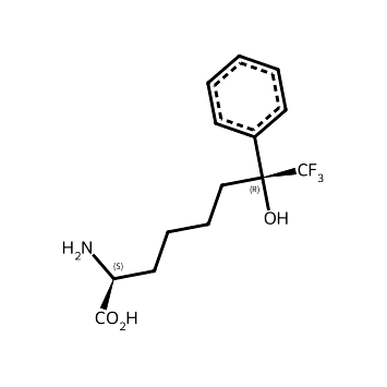 N[C@@H](CCCC[C@@](O)(c1ccccc1)C(F)(F)F)C(=O)O